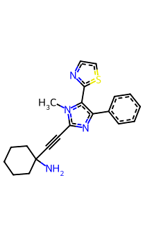 Cn1c(C#CC2(N)CCCCC2)nc(-c2ccccc2)c1-c1nccs1